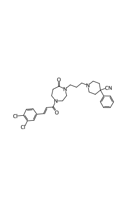 N#CC1(c2ccccc2)CCN(CCCN2CCN(C(=O)C=Cc3ccc(Cl)c(Cl)c3)CCC2=O)CC1